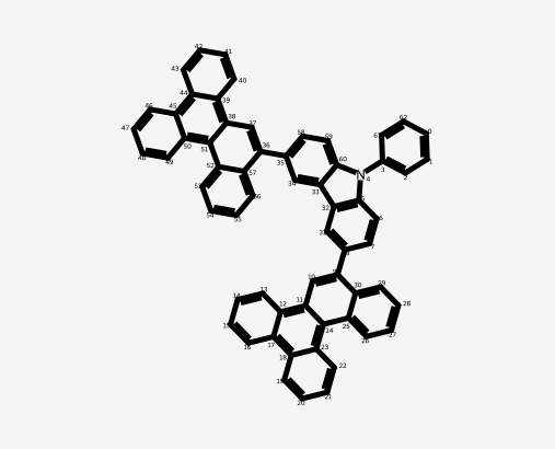 c1ccc(-n2c3ccc(-c4cc5c6ccccc6c6ccccc6c5c5ccccc45)cc3c3cc(-c4cc5c6ccccc6c6ccccc6c5c5ccccc45)ccc32)cc1